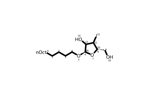 CCCCCCCCCCCCO[C@@H]1O[C@@H](CO)C(I)C1O